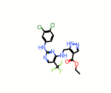 CCOC(=O)c1cn[nH]c1CNc1nc(Nc2ccc(Cl)c(Cl)c2)ncc1C(F)(F)F